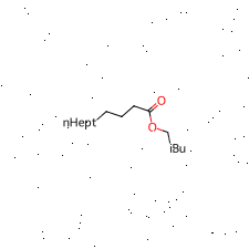 CCCCCCCCCCC(=O)OCC(C)CC